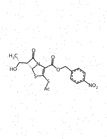 CC(=O)SC1=C(C(=O)OCc2ccc([N+](=O)[O-])cc2)N2C(=O)[C@@H]([C@@H](C)O)C2S1